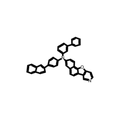 c1ccc(-c2cccc(N(c3ccc(-c4ccc5ccccc5c4)cc3)c3ccc4c(ccc5c6cnccc6oc45)c3)c2)cc1